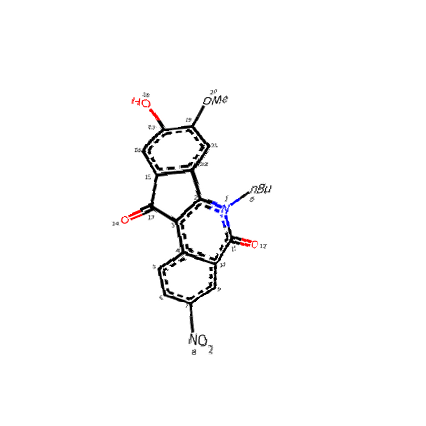 CCCCn1c2c(c3ccc([N+](=O)[O-])cc3c1=O)C(=O)c1cc(O)c(OC)cc1-2